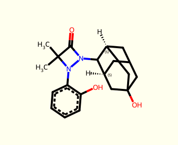 CC1(C)C(=O)N(C2[C@H]3CC4C[C@H]2CC(O)(C4)C3)N1c1ccccc1O